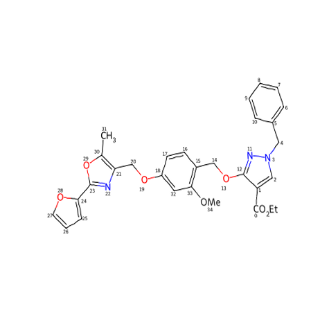 CCOC(=O)c1cn(Cc2ccccc2)nc1OCc1ccc(OCc2nc(-c3ccco3)oc2C)cc1OC